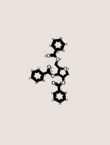 O=C(OCC1OCC(OC(=O)c2ccccc2)C1OC(=O)c1ccccc1)c1ccccc1